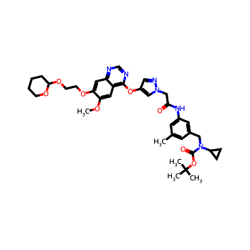 COc1cc2c(Oc3cnn(CC(=O)Nc4cc(C)cc(CN(C(=O)OC(C)(C)C)C5CC5)c4)c3)ncnc2cc1OCCOC1CCCCO1